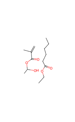 C=C(C)C(=O)OC(C)O.CCCCCC(=O)OCC